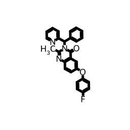 Cc1nc2ccc(Oc3ccc(F)cc3)cc2c(=O)n1C(c1ccccc1)c1ccccn1